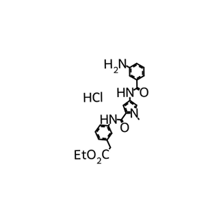 CCOC(=O)Cc1cccc(NC(=O)c2cc(NC(=O)c3cccc(N)c3)cn2C)c1.Cl